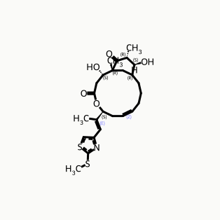 CSc1nc(/C=C(\C)[C@@H]2C/C=C\CCC[C@@H]3C[C@@](C)(C(=O)[C@H](C)[C@H]3O)[C@@H](O)CC(=O)O2)cs1